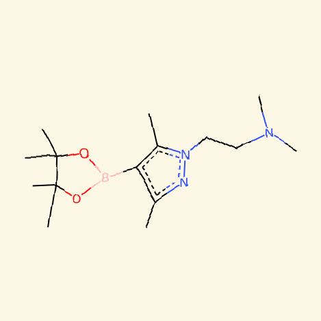 Cc1nn(CCN(C)C)c(C)c1B1OC(C)(C)C(C)(C)O1